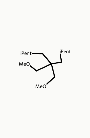 CCCC(C)CC(COC)(COC)CC(C)CCC